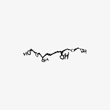 OCOCC(O)CCCC(O)COCO